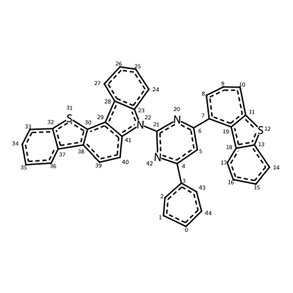 c1ccc(-c2cc(-c3cccc4sc5ccccc5c34)nc(-n3c4ccccc4c4c5sc6ccccc6c5ccc43)n2)cc1